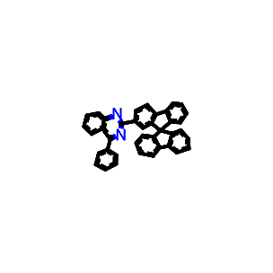 c1ccc(-c2nc(-c3ccc4c(c3)C3(c5ccccc5-c5ccccc53)c3ccccc3-4)nc3ccccc23)cc1